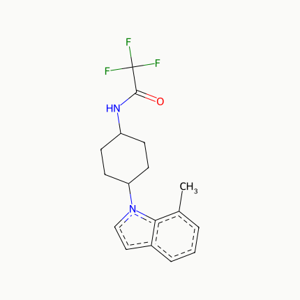 Cc1cccc2ccn(C3CCC(NC(=O)C(F)(F)F)CC3)c12